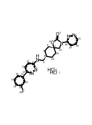 Cl.Cl.O=C1O[C@]2(CC[C@H](CNc3ccc(-c4cccc(F)c4)nn3)CC2)CN1c1cccnn1